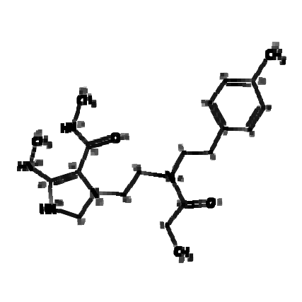 CCC(=O)N(CCc1ccc(C)cc1)CCN1CNC(NC)=C1C(=O)NC